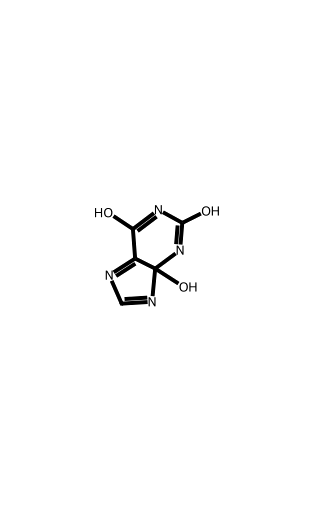 OC1=NC2(O)N=CN=C2C(O)=N1